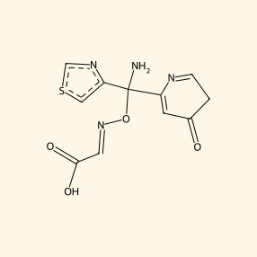 NC(ON=CC(=O)O)(C1=CC(=O)CC=N1)c1cscn1